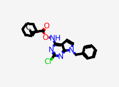 O=C(ONc1nc(Cl)nc2c1ccn2Cc1ccccc1)C1CC2CCC1CC2